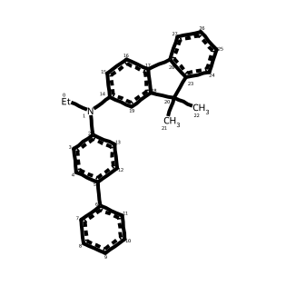 CCN(c1ccc(-c2ccccc2)cc1)c1ccc2c(c1)C(C)(C)c1ccccc1-2